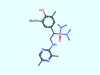 COc1cc(C(CNc2ncc(C)nc2C)P(=O)(N(C)C)N(C)C)cc(C)c1O